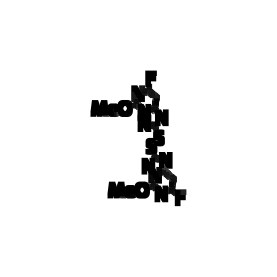 COc1nc(F)cc2nc(SSc3nc4cc(F)nc(OC)n4n3)nn12